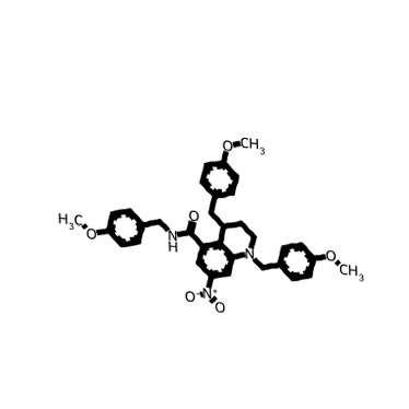 COc1ccc(CNC(=O)c2cc([N+](=O)[O-])cc3c2C(Cc2ccc(OC)cc2)CCN3Cc2ccc(OC)cc2)cc1